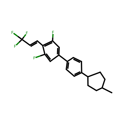 CC1CCC(c2ccc(-c3cc(F)c(/C=C/C(F)(F)F)c(F)c3)cc2)CC1